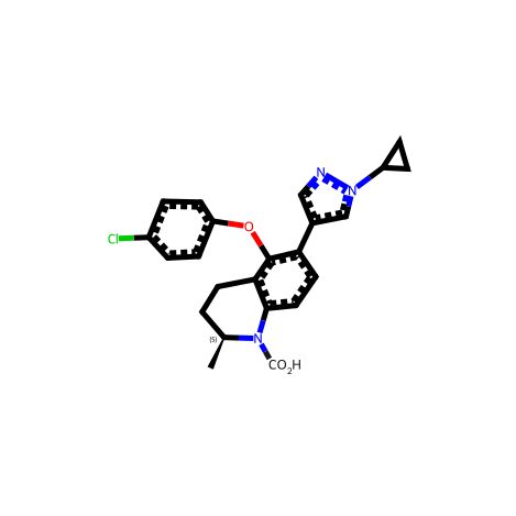 C[C@H]1CCc2c(ccc(-c3cnn(C4CC4)c3)c2Oc2ccc(Cl)cc2)N1C(=O)O